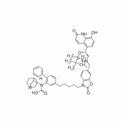 CC(C)(C)[Si](C)(C)O[C@H](CNCc1ccc2c(c1)oc(=O)n2CCCCCc1ccc(-c2ccccc2)c(N(C(=O)O)[C@H]2CN3CCC2CC3)c1)c1ccc(O)c2[nH]c(=O)ccc12